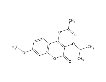 COc1ccc2c(OC(C)=O)c(OC(C)C)c(=O)oc2c1